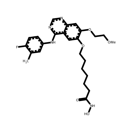 COCCOc1cc2ncnc(Nc3ccc(F)c(C)c3)c2cc1OCCCCCCC(=O)NO